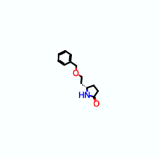 O=C1CC[C@@H](CCOCc2ccccc2)N1